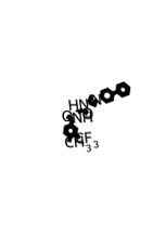 Cc1ccc(C(=O)NCC(=O)NC2CN(C3CCC(c4ccccc4)CC3)C2)cc1C(F)(F)F